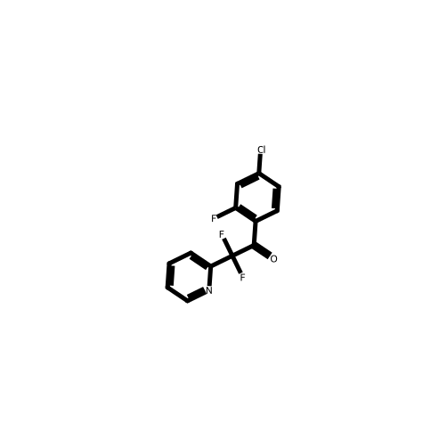 O=C(c1ccc(Cl)cc1F)C(F)(F)c1ccccn1